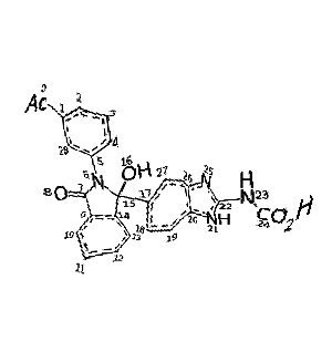 CC(=O)c1cccc(N2C(=O)c3ccccc3C2(O)c2ccc3[nH]c(NC(=O)O)nc3c2)c1